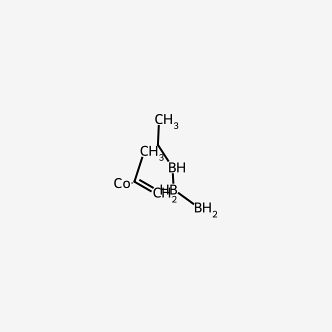 BBBCC.C=CC.[Co]